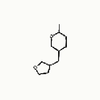 CC1CCC(CC2CCOC2)CO1